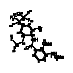 CONc1cccc(C(=O)Nc2c(Br)cc(C(F)(C(F)(F)F)C(F)(F)Cl)cc2CC(F)F)c1OC